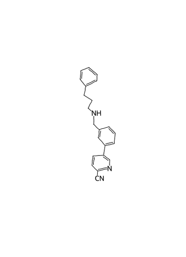 N#Cc1ccc(-c2cccc(CNCCCc3ccccc3)c2)cn1